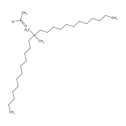 CC(=O)[O-].CCCCCCCCCCCC[N+](C)(C)CCCCCCCCCCCC